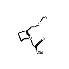 COC(=O)N1CCC1COC(C)C